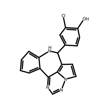 Oc1ccc(C2Nc3ccccc3-c3ncnn4ccc2c34)cc1Cl